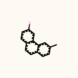 Cc1ccc2ccc3ccc(I)cc3c2c1